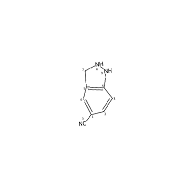 N#Cc1ccc2c(c1)CNN2